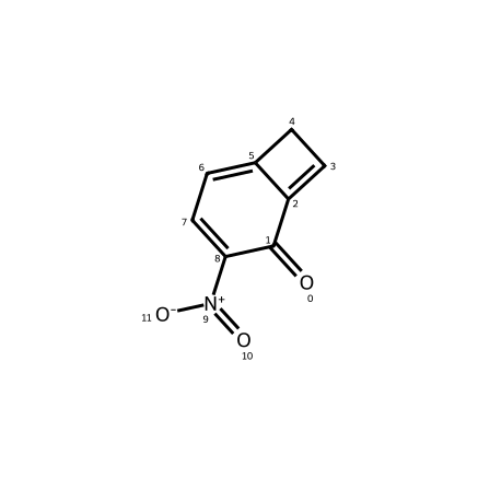 O=C1C2=CCC2=CC=C1[N+](=O)[O-]